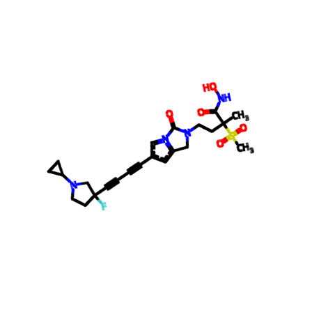 CC(CCN1Cc2cc(C#CC#CC3(F)CCN(C4CC4)C3)cn2C1=O)(C(=O)NO)S(C)(=O)=O